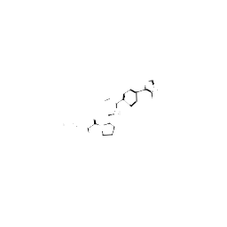 CC(=O)N[C@H](C(=O)N1C[C@H](C)C[C@H]1C(=O)N[C@@H](CC(C)C)c1ccc(-c2scnc2C)cc1)C(C)(C)C